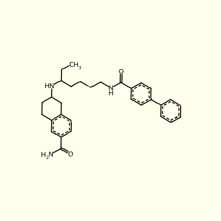 CCC(CCCCNC(=O)c1ccc(-c2ccccc2)cc1)NC1CCc2cc(C(N)=O)ccc2C1